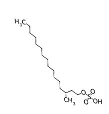 CCCCCCCCCCCCCC(C)CCOS(=O)(=O)O